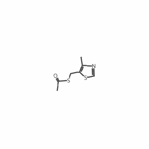 CC(=O)SCc1scnc1C